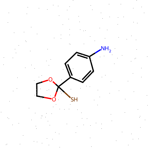 Nc1ccc(C2(S)OCCO2)cc1